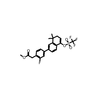 COC(=O)Cc1ccc(-c2ccc3c(c2)C(C)(C)CC=C3OS(=O)(=O)C(F)(F)F)cc1F